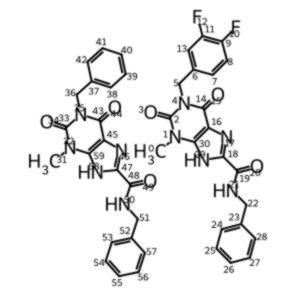 Cn1c(=O)n(Cc2ccc(F)c(F)c2)c(=O)c2nc(C(=O)NCc3ccccc3)[nH]c21.Cn1c(=O)n(Cc2ccccc2)c(=O)c2nc(C(=O)NCc3ccccc3)[nH]c21